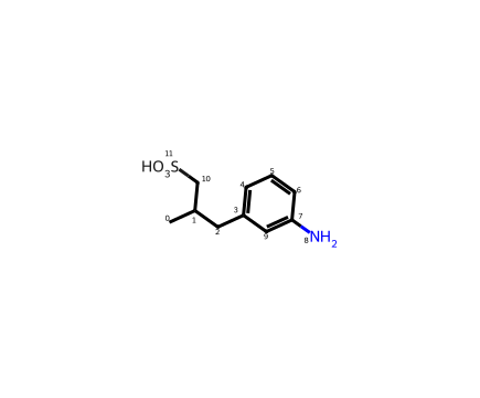 CC(Cc1cccc(N)c1)CS(=O)(=O)O